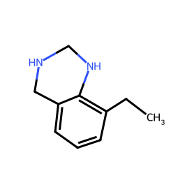 CCc1cccc2c1NCNC2